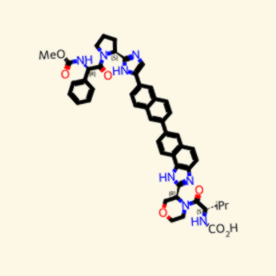 COC(=O)N[C@@H](C(=O)N1CCC[C@H]1c1ncc(-c2ccc3cc(-c4ccc5c(ccc6nc([C@@H]7COCCN7C(=O)[C@@H](NC(=O)O)C(C)C)[nH]c65)c4)ccc3c2)[nH]1)c1ccccc1